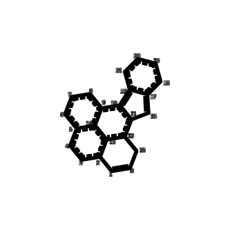 C1=Cc2ccc3cccc4c5c(c(c2c34)C1)C=c1ccccc1=5